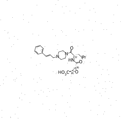 CC(C)C[C@H](NC(=O)[C@@H]1O[C@H]1C(=O)O)C(=O)N1CCN(CC=Cc2ccccc2)CC1